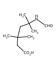 CC(C)(CC(=O)O)CC(C)(C)NC=O